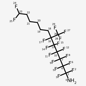 NC(F)(F)C(F)(F)C(F)(F)C(F)(F)C(F)(F)C(F)(CCCCCC(F)F)C(F)(F)F